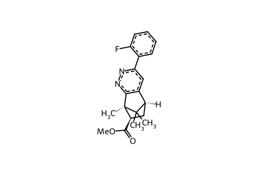 COC(=O)[C@@H]1C[C@@H]2c3cc(-c4ccccc4F)nnc3[C@@]1(C)C2(C)C